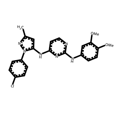 COc1ccc(Nc2nccc(Nc3cc(C)nn3-c3ccc(Cl)cc3)n2)cc1OC